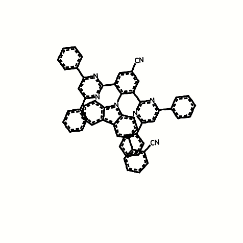 N#Cc1cc(-c2nc(-c3ccccc3)cc(-c3ccccc3)n2)c(-n2c3ccccc3c3cc(-c4ccccc4C#N)ccc32)c(-c2nc(-c3ccccc3)cc(-c3ccccc3)n2)c1